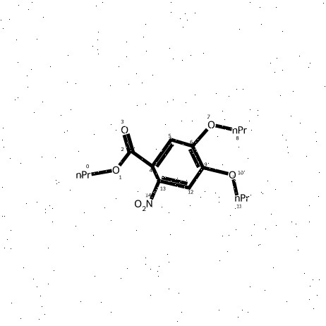 CCCOC(=O)c1cc(OCCC)c(OCCC)cc1[N+](=O)[O-]